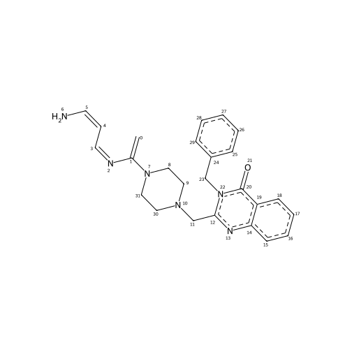 C=C(/N=C\C=C/N)N1CCN(Cc2nc3ccccc3c(=O)n2Cc2ccccc2)CC1